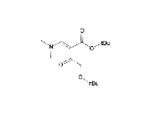 CCCCOCC(=O)/C(=C\N(C)C)C(=O)OC(C)(C)C